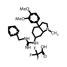 COc1ccc(C23CCC(NC(=N)NCc4ccccc4)CC2N(C)CC3)cc1OC.O=C(O)C(F)(F)F